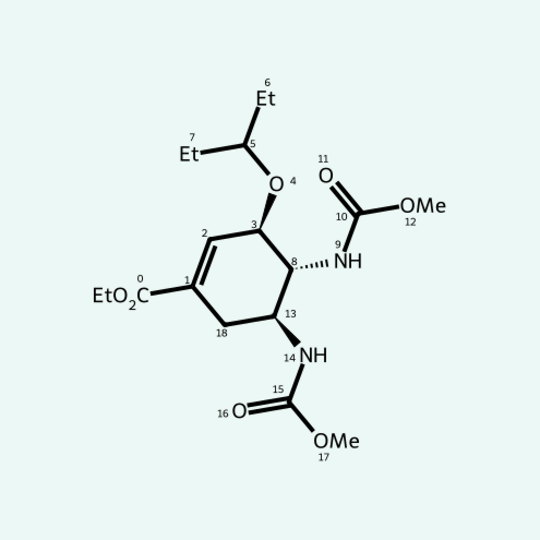 CCOC(=O)C1=C[C@@H](OC(CC)CC)[C@H](NC(=O)OC)[C@@H](NC(=O)OC)C1